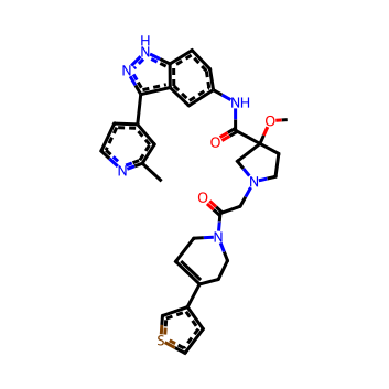 COC1(C(=O)Nc2ccc3[nH]nc(-c4ccnc(C)c4)c3c2)CCN(CC(=O)N2CC=C(c3ccsc3)CC2)C1